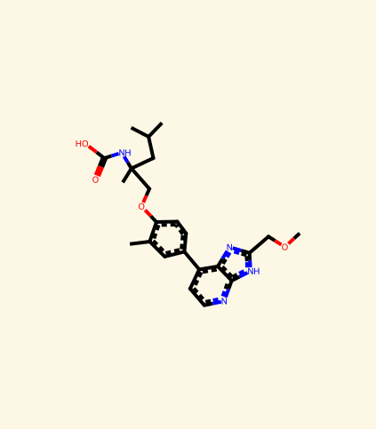 COCc1nc2c(-c3ccc(OCC(C)(CC(C)C)NC(=O)O)c(C)c3)ccnc2[nH]1